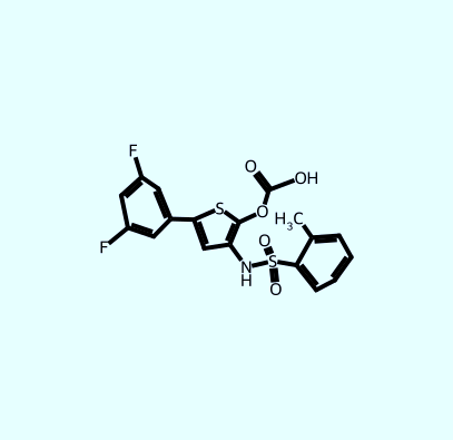 Cc1ccccc1S(=O)(=O)Nc1cc(-c2cc(F)cc(F)c2)sc1OC(=O)O